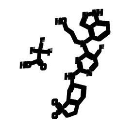 O=C(O)C(F)(F)F.O=S1(=O)CCc2ccc(Nc3ncc(F)c(N(CCCO)c4cccc5[nH]ncc45)n3)cc21